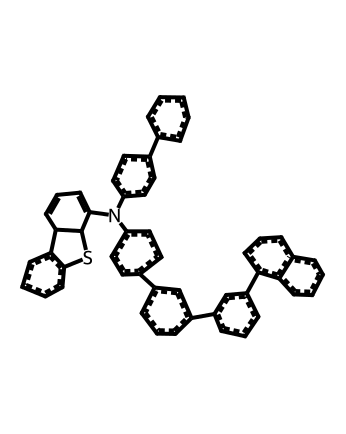 C1=CC2c3ccccc3SC2C(N(c2ccc(-c3ccccc3)cc2)c2ccc(-c3cccc(-c4cccc(-c5cccc6ccccc56)c4)c3)cc2)=C1